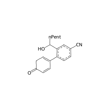 CCCCCC(O)c1cc(C#N)ccc1C1=CCC(=O)C=C1